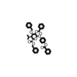 CC(C)[C@H]1[C@H](OCc2ccccc2)[C@@H](OC(=O)c2ccccc2)[C@H](Oc2ccc(OC(=O)c3ccccc3)cc2)O[C@@H]1C(=O)OCc1ccccc1